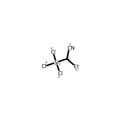 CCC(C#N)[Si](Cl)(Cl)Cl